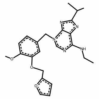 CCNc1ncn(Cc2ccc(OC)c(OCc3ccco3)c2)c2nc(C(C)C)nc1-2